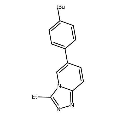 CCc1nnc2ccc(-c3ccc(C(C)(C)C)cc3)cn12